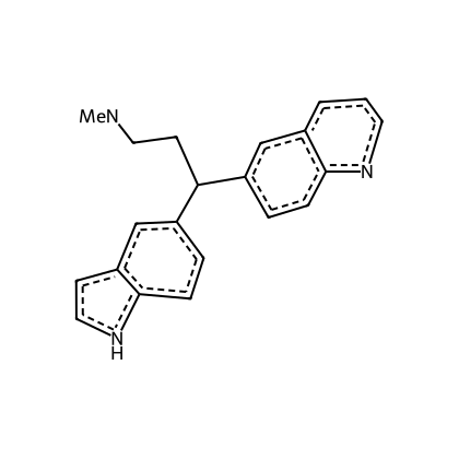 CNCCC(c1ccc2ncccc2c1)c1ccc2[nH]ccc2c1